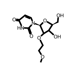 COCCOC1C(O)[C@H](CO)O[C@@H]1n1ccc(=O)[nH]c1=O